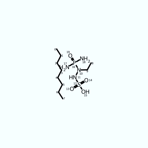 CCCCCCCC.CCN(NS(=O)(=O)O)P(N)(N)=O